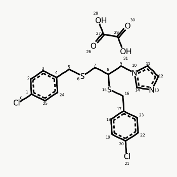 Clc1ccc(CSCC(Cn2ccnc2)SCc2ccc(Cl)cc2)cc1.O=C(O)C(=O)O